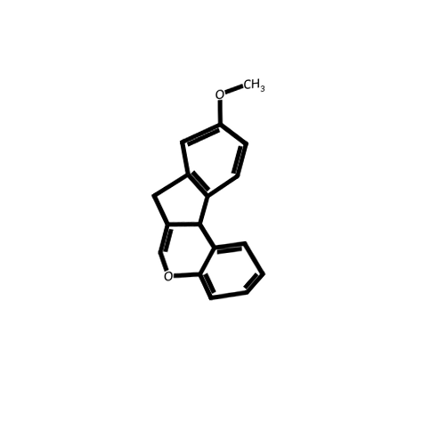 COc1ccc2c(c1)CC1=COc3ccccc3C12